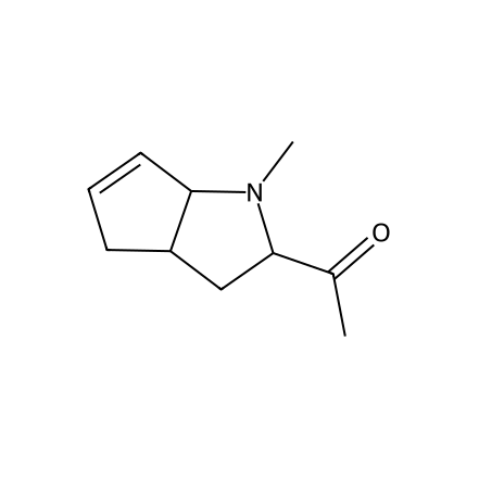 CC(=O)C1CC2CC=CC2N1C